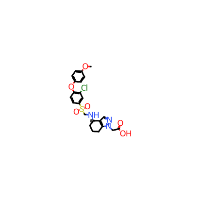 COc1ccc(Oc2ccc(S(=O)(=O)CN[C@@H]3CCCc4c3cnn4CC(=O)O)cc2Cl)cc1